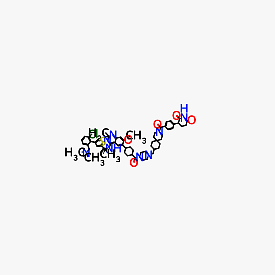 COc1cc2nc(C)nc(N[C@H](C)c3cc(-c4c(Cl)cccc4CN(C)C)cs3)c2cc1C1CCC(C(=O)N2CCN(CC3CCC4(CC3)CCN(C(=O)c3ccc(C5CCC(=O)NC5=O)cc3)CC4)CC2)CC1